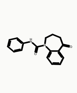 O=C1CCCN(C(=O)Nc2ccccc2)c2ccccc21